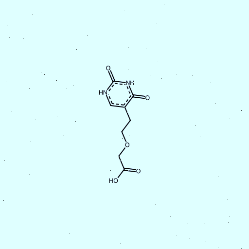 O=C(O)COCCc1c[nH]c(=O)[nH]c1=O